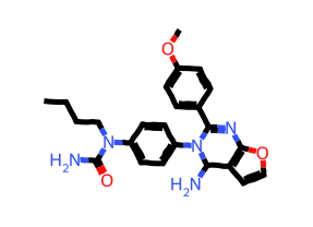 CCCCN(C(N)=O)c1ccc(N2C(c3ccc(OC)cc3)=Nc3occc3C2N)cc1